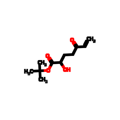 C=CC(=O)CCC(O)C(=O)OC(C)(C)C